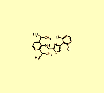 CC(C)c1cccc(C(C)C)c1NCc1nc(-c2c(Cl)cccc2Cl)no1